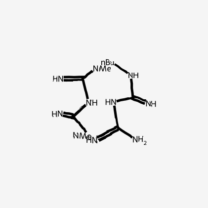 CCCCNC(=N)NC(=N)N.CNC(=N)NC(=N)NC